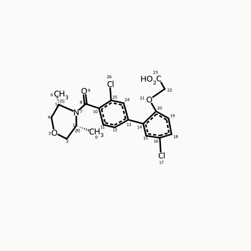 C[C@@H]1COC[C@H](C)N1C(=O)c1ccc(-c2cc(Cl)ccc2OCC(=O)O)cc1Cl